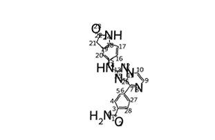 NC(=O)c1ccc(-c2nccn3nc(Nc4ccc5c(c4)CC(=O)N5)nc23)cc1